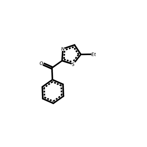 CCc1cnc(C(=O)c2ccccc2)s1